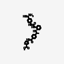 COC(=O)c1cc(NC(=O)c2ccc(C(C)Nc3ccccc3NC(=O)Nc3ccc(C(=N)N)cc3)cc2)cs1